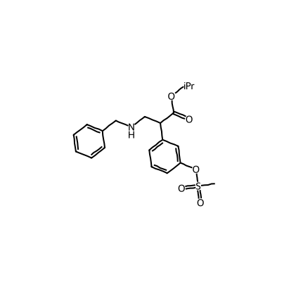 CC(C)OC(=O)C(CNCc1ccccc1)c1cccc(OS(C)(=O)=O)c1